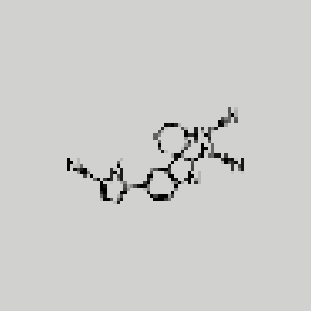 Cn1c(C#N)ccc1-c1ccc2c(c1)C1(CCCCC1)C(N(C#N)NC#N)=N2